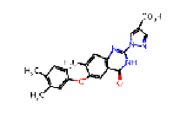 Cc1ccc(Oc2cc3c(=O)[nH]c(-n4cc(C(=O)O)cn4)nc3cc2C)cc1C